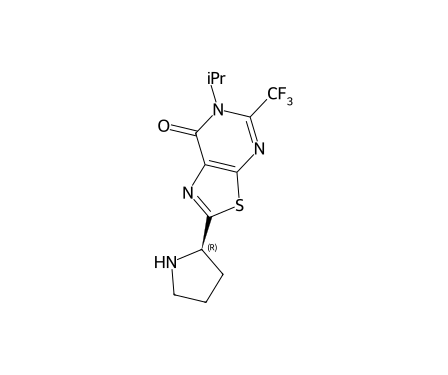 CC(C)n1c(C(F)(F)F)nc2sc([C@H]3CCCN3)nc2c1=O